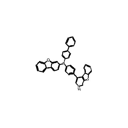 C1=C(c2ccc(N(c3ccc(-c4ccccc4)cc3)c3ccc4c(c3)oc3ccccc34)cc2)c2c(sc3ccccc23)CN1